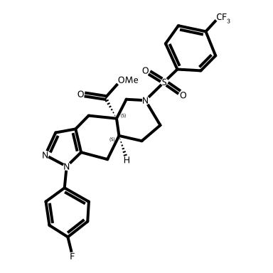 COC(=O)[C@@]12Cc3cnn(-c4ccc(F)cc4)c3C[C@@H]1CCN(S(=O)(=O)c1ccc(C(F)(F)F)cc1)C2